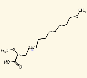 COCCCCCCC/C=C/CC(SC)C(=O)O